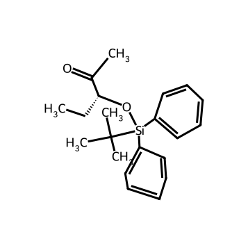 CC[C@@H](O[Si](c1ccccc1)(c1ccccc1)C(C)(C)C)C(C)=O